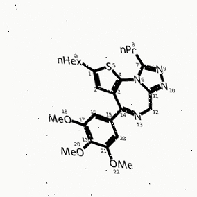 CCCCCCc1cc2c(s1)-n1c(CCC)nnc1CN=C2c1cc(OC)c(OC)c(OC)c1